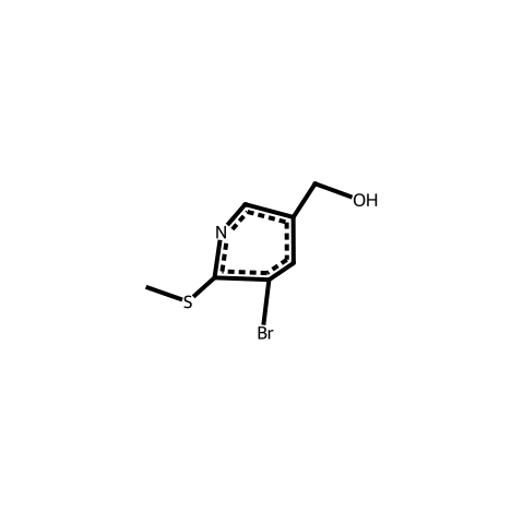 CSc1ncc(CO)cc1Br